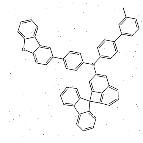 Cc1cccc(-c2ccc(N(c3ccc(-c4ccc5oc6ccccc6c5c4)cc3)c3cc4c5c(cccc5c3)C43c4ccccc4-c4ccccc43)cc2)c1